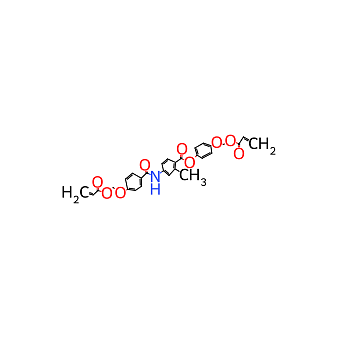 C=CC(=O)OCOc1ccc(OC(=O)c2ccc(NC(=O)c3ccc(OCOC(=O)C=C)cc3)cc2C)cc1